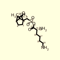 CC1(C)C2CCC1(CS(=O)(=O)OC(=O)[C@H](N)CCCCN)C(=O)C2